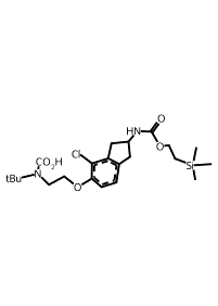 CC(C)(C)N(CCOc1ccc2c(c1Cl)CC(NC(=O)OCC[Si](C)(C)C)C2)C(=O)O